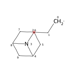 [CH2]CCN1C2CCCC1C2